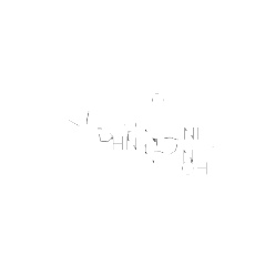 CCOCCCn1c(NC(=O)c2ccc(C3=CCCC(CC)=C3)s2)nc2cc(NO)c(N)cc21